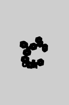 c1ccc(-c2cc(-c3ccc(N(c4ccccc4)c4ccc(-c5ccc6oc7ccc8nc(-c9ccccc9)sc8c7c6c5)cc4)cc3)c3ccccc3c2)cc1